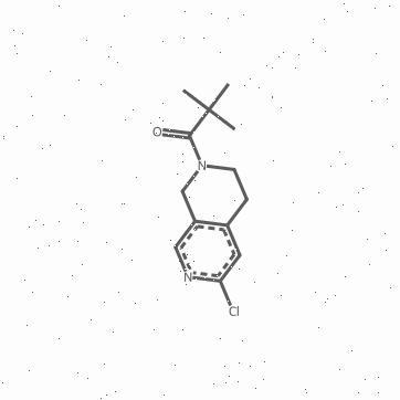 CC(C)(C)C(=O)N1CCc2cc(Cl)ncc2C1